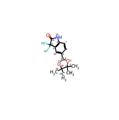 CC1(C)OB(c2ccc3c(c2)C(F)(F)C(=O)N3)OC1(C)C